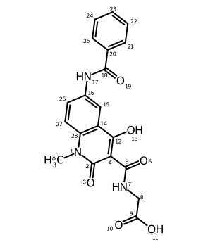 Cn1c(=O)c(C(=O)NCC(=O)O)c(O)c2cc(NC(=O)c3ccccc3)ccc21